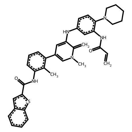 C=CC(=O)Nc1cc(NC2=CC(c3cccc(NC(=O)c4cc5ccccc5s4)c3C)=CN(C)C2=C)ccc1N1CCCCC1